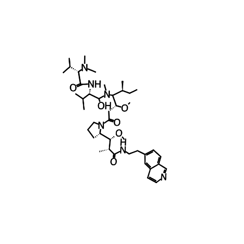 CC[C@H](C)C([C@@H](CC(=O)N1CCC[C@H]1[C@H](OC)[C@@H](C)C(=O)NCCc1ccc2cnccc2c1)OC)N(C)C(O)[C@@H](NC(=O)[C@H](C(C)C)N(C)C)C(C)C